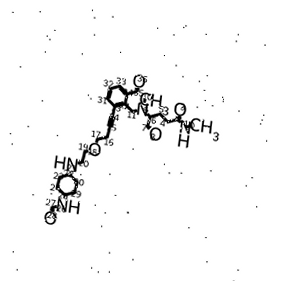 CNC(=O)CCC(C=O)N(C)Cc1c(C#CCCOCCN[C@H]2CC[C@@H](NC=O)CC2)cccc1C=O